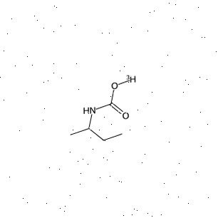 [3H]OC(=O)NC(C)CC